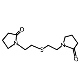 O=C1CCCN1CCSCCN1CCCC1=O